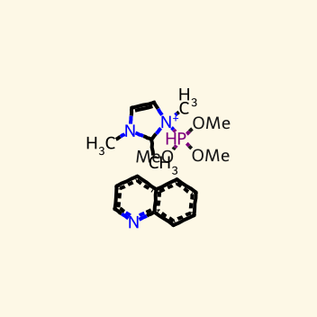 CO[PH](OC)(OC)[N+]1(C)C=CN(C)C1C.c1ccc2ncccc2c1